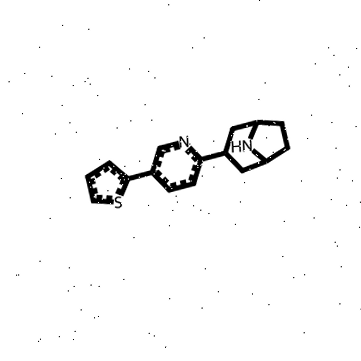 c1csc(-c2ccc(C3CC4CCC(C3)N4)nc2)c1